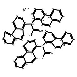 S=C([S-])N(c1cccc2c1ccc1ccccc12)c1cccc2c1ccc1ccccc12.S=C([S-])N(c1cccc2c1ccc1ccccc12)c1cccc2c1ccc1ccccc12.[Ca+2]